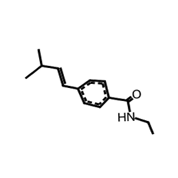 CCNC(=O)c1ccc(/C=C/C(C)C)cc1